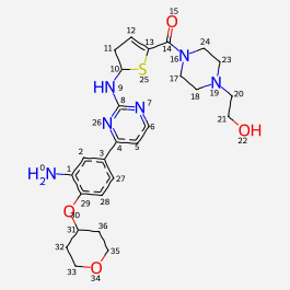 Nc1cc(-c2ccnc(NC3CC=C(C(=O)N4CCN(CCO)CC4)S3)n2)ccc1OC1CCOCC1